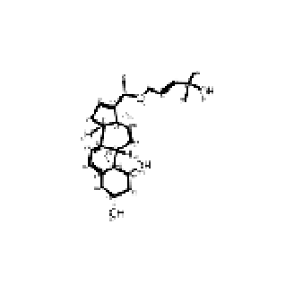 C[C@@H](OC/C=C/C(C)(C)O)C1=CC[C@H]2C3=CC=C4C[C@@H](O)C[C@H](O)[C@]4(C)[C@H]3CC[C@]12C